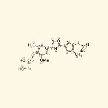 CCN(CC)Cc1sc(-c2nc(-c3cc(C)c(OC[C@@H](O)CO)c(OC)c3)no2)cc1C